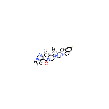 Cc1ncnc(C)c1C(=O)N1CCC(C)(N2CCN(C3CCc4cc(F)ccc43)[C@@H](C)C2)CC1